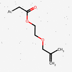 C=C(C)COCCOC(=O)CC(C)=O